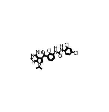 CC(C)n1cc(C(=O)c2cccc(NC(=O)Nc3ccc(Cl)cc3Cl)c2Cl)c2c(N)ncnc21